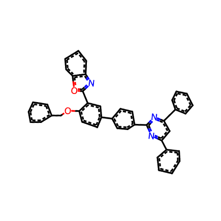 c1ccc(COc2ccc(-c3ccc(-c4nc(-c5ccccc5)cc(-c5ccccc5)n4)cc3)cc2-c2nc3ccccc3o2)cc1